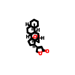 C[C@]12CCCC[C@H]1CC[C@@H]1[C@@H]2C[C@H]2C[C@]23[C@@H](C2=CC(=O)OC2)CC[C@]13O